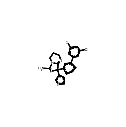 NC1=NC(c2ccsc2)(c2cccc(-c3cc(Cl)cc(Cl)c3)c2)C2=NCCCN12